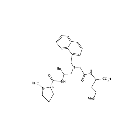 CCC(C)C(CN(CC(=O)NC(CCSC)C(=O)O)Cc1cccc2ccccc12)NC(=O)[C@@H]1CCCN1C=O